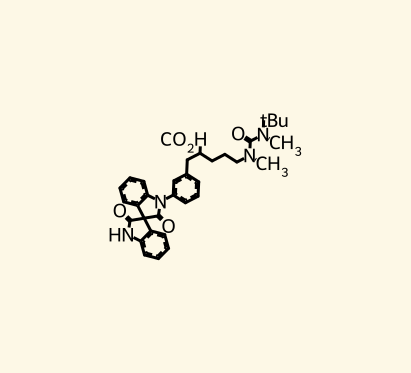 CN(CCCC(Cc1cccc(N2C(=O)C3(C(=O)Nc4ccccc43)c3ccccc32)c1)C(=O)O)C(=O)N(C)C(C)(C)C